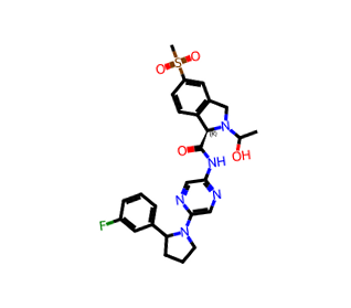 CC(O)N1Cc2cc(S(C)(=O)=O)ccc2[C@@H]1C(=O)Nc1cnc(N2CCCC2c2cccc(F)c2)cn1